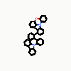 c1ccc2c(c1)Oc1cccc3c4c(-c5ccccc5-c5ccccc5-n5c6ccccc6c6ccccc65)cccc4n-2c13